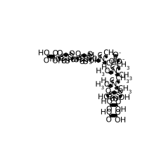 CC[N+](C)(CC)CC.CC[N+](C)(CC)CC.CC[N+](C)(CC)CC.O=C(O)C(=O)O.O=C(O)C(=O)O.O=C(O)C(=O)O.O=S(=O)(O)CS(=O)(=O)O.O=S(=O)(O)CS(=O)(=O)O.O=S(=O)(O)CS(=O)(=O)O.[O-]B([O-])[O-]